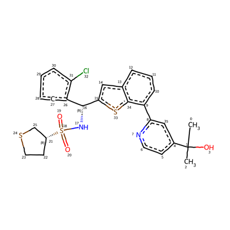 CC(C)(O)c1ccnc(-c2cccc3cc([C@H](NS(=O)(=O)[C@@H]4CCSC4)c4ccccc4Cl)sc23)c1